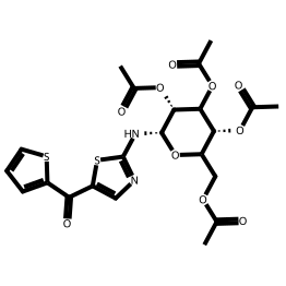 CC(=O)OCC1O[C@H](Nc2ncc(C(=O)c3cccs3)s2)[C@H](OC(C)=O)C(OC(C)=O)[C@@H]1OC(C)=O